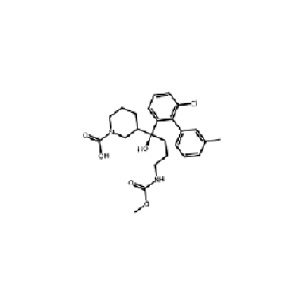 COC(=O)NCCC[C@@](O)(c1cccc(Cl)c1-c1cccc(C)c1)C1CCCN(C(=O)O)C1